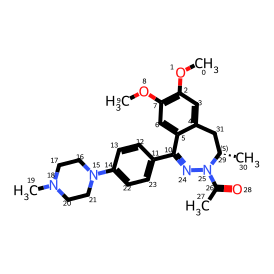 COc1cc2c(cc1OC)C(c1ccc(N3CCN(C)CC3)cc1)=NN(C(C)=O)[C@@H](C)C2